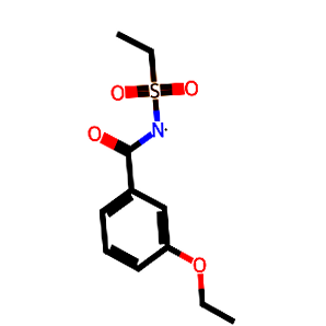 CCOc1cccc(C(=O)[N]S(=O)(=O)CC)c1